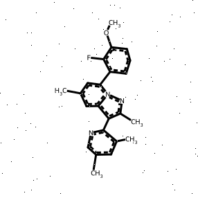 COc1cccc(-c2cc(C)cc3c(-c4ncc(C)cc4C)c(C)nn23)c1F